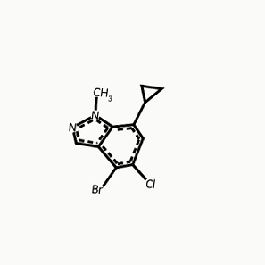 Cn1ncc2c(Br)c(Cl)cc(C3CC3)c21